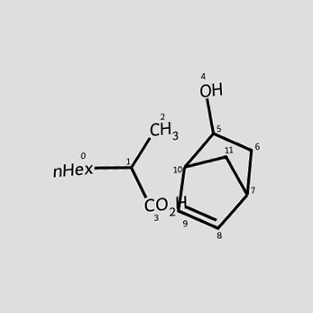 CCCCCCC(C)C(=O)O.OC1CC2C=CC1C2